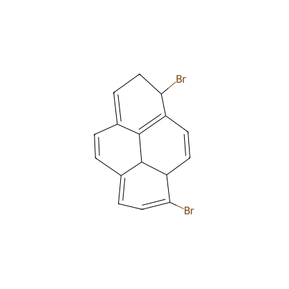 BrC1=CC=C2C=CC3=CCC(Br)C4=C3C2C1C=C4